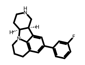 Fc1cccc(-c2cc3c4c(c2)[C@@H]2CNCC[C@@H]2N4CCC3)c1